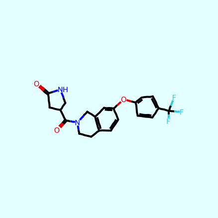 O=C1CC(C(=O)N2CCc3ccc(Oc4ccc(C(F)(F)F)cc4)cc3C2)CN1